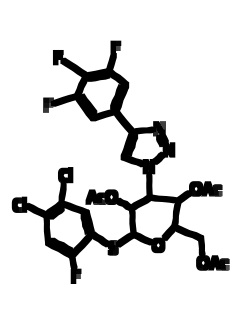 CC(=O)OCC1OC(Sc2cc(Cl)c(Cl)cc2F)C(OC(C)=O)C(n2cc(-c3cc(F)c(F)c(F)c3)nn2)C1OC(C)=O